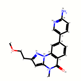 COCCc1cc2n(C)c(=O)c3ccc(-c4ccc(N)nc4)cc3n2n1